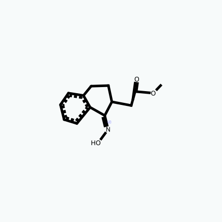 COC(=O)CC1CCc2ccccc2/C1=N\O